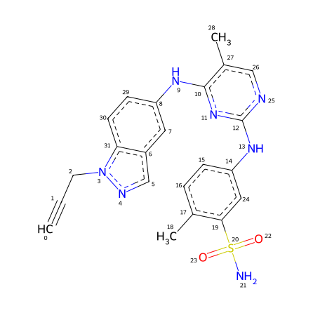 C#CCn1ncc2cc(Nc3nc(Nc4ccc(C)c(S(N)(=O)=O)c4)ncc3C)ccc21